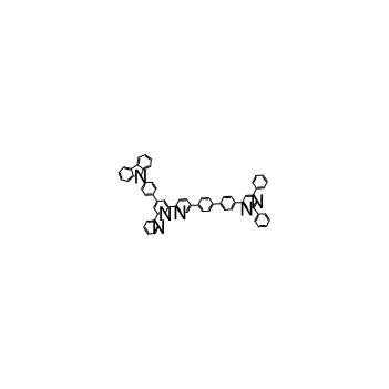 c1ccc(-c2cc(-c3ccc(-c4ccc(-c5ccc(-c6cc(-c7ccc(-n8c9ccccc9c9ccccc98)cc7)cc(-c7ccccn7)n6)nc5)cc4)cc3)nc(-c3ccccc3)n2)cc1